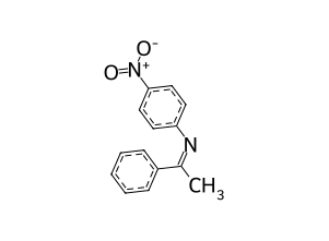 CC(=Nc1ccc([N+](=O)[O-])cc1)c1ccccc1